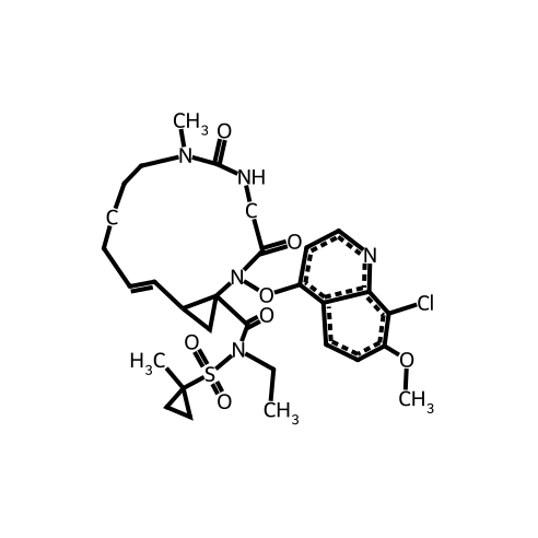 CCN(C(=O)C12CC1/C=C/CCCCN(C)C(=O)NCC(=O)N2Oc1ccnc2c(Cl)c(OC)ccc12)S(=O)(=O)C1(C)CC1